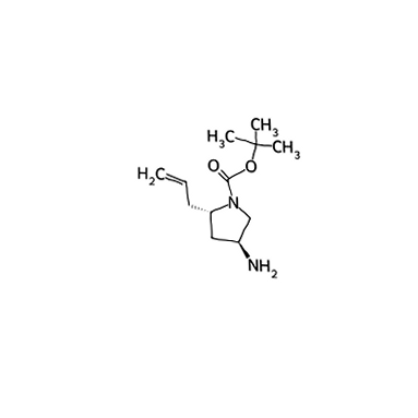 C=CC[C@H]1C[C@H](N)CN1C(=O)OC(C)(C)C